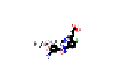 CC(C)Oc1ccc(-c2nc(-c3ccc(F)c4c(CCC(=O)O)cn(C)c34)no2)cc1C#N